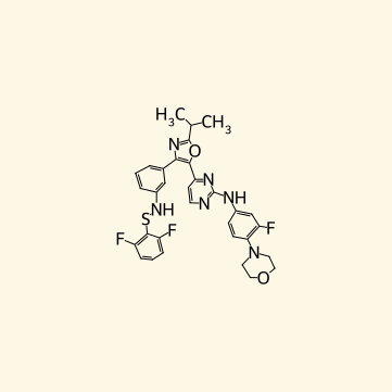 CC(C)c1nc(-c2cccc(NSc3c(F)cccc3F)c2)c(-c2ccnc(Nc3ccc(N4CCOCC4)c(F)c3)n2)o1